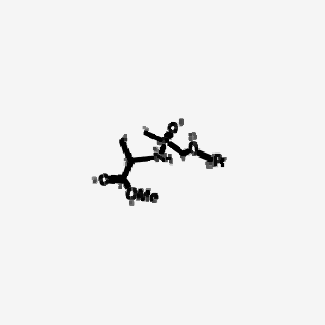 COC(=O)C(C)NP(C)(=O)COC(C)C